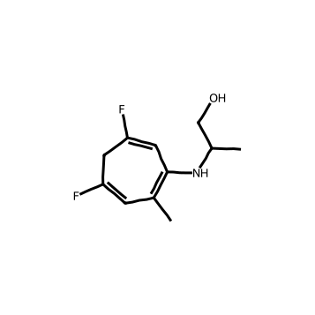 CC1=C(NC(C)CO)C=C(F)CC(F)=C1